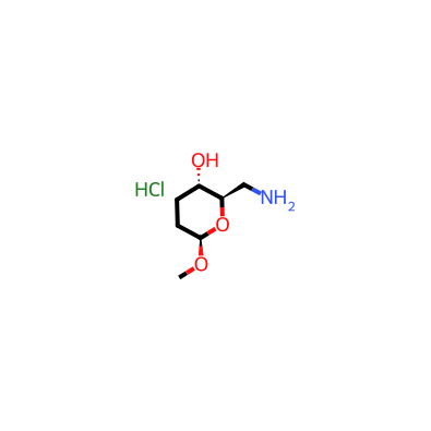 CO[C@H]1CC[C@H](O)[C@@H](CN)O1.Cl